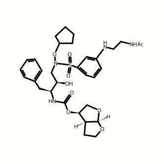 CC(=O)NCCNc1cccc(S(=O)(=O)N(C[C@@H](O)[C@H](Cc2ccccc2)NC(=O)O[C@H]2CO[C@H]3OCC[C@H]32)OC2CCCC2)c1